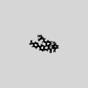 CN(C)c1ccc(-c2ccc(CN(C(=O)[C@@H]3C[C@@H]4CC[C@H]3C4)c3cccc(C=CC(=O)O)c3)cc2)cc1